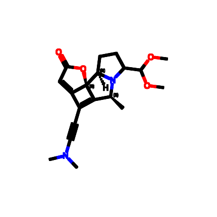 COC(OC)C1CC[C@H]2N1[C@@H](C)C1=C(C#CN(C)C)C3=CC(=O)O[C@]312